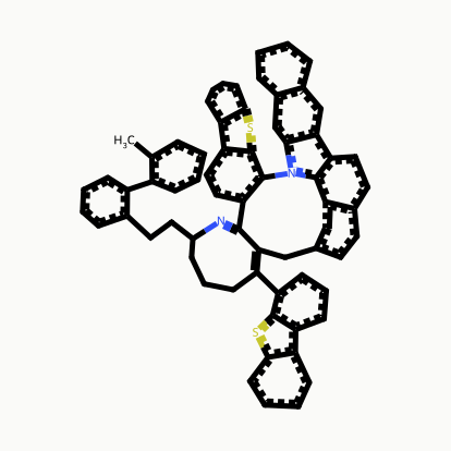 Cc1ccccc1-c1ccccc1CCC1CCC/C(c2cccc3c2sc2ccccc23)=C2/Cc3ccc4ccc5c6cc7ccccc7cc6n(c5c4c3)-c3c(ccc4c3sc3ccccc34)/C2=N/1